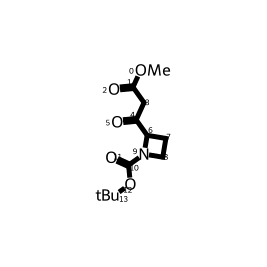 COC(=O)CC(=O)C1CCN1C(=O)OC(C)(C)C